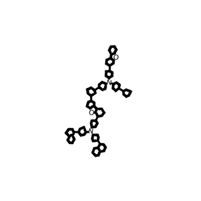 c1ccc(-c2ccc(N(c3ccc(-c4cccc(-c5ccc6oc7c(-c8ccc(N(c9ccc(-c%10cccc%11ccccc%10%11)cc9)c9ccc(-c%10cccc%11ccccc%10%11)cc9)cc8)cccc7c6c5)c4)cc3)c3ccc(-c4ccc5c(c4)oc4ccccc45)cc3)cc2)cc1